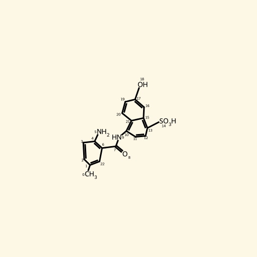 Cc1ccc(N)c(C(=O)Nc2ccc(S(=O)(=O)O)c3cc(O)ccc23)c1